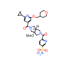 CO[C@]12CN(C(=O)c3cc(OCC4CCOCC4)nc(C4CC4)c3)C[C@@H]1CN(C(=O)c1ccc(S(N)(=O)=O)cn1)C2